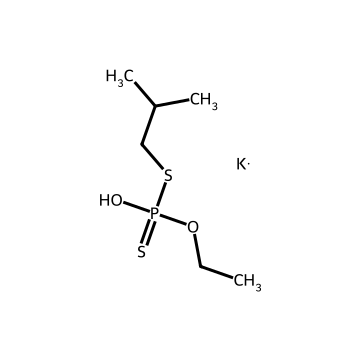 CCOP(O)(=S)SCC(C)C.[K]